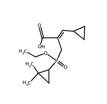 CCOP(=O)(C/C(=C\C1CC1)C(=O)O)C1CC1(C)C